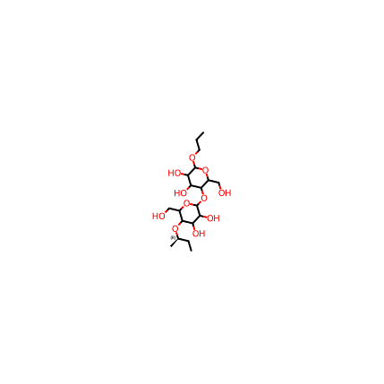 CCCOC1OC(CO)C(OC2OC(CO)C(O[C@H](C)CC)C(O)C2O)C(O)C1O